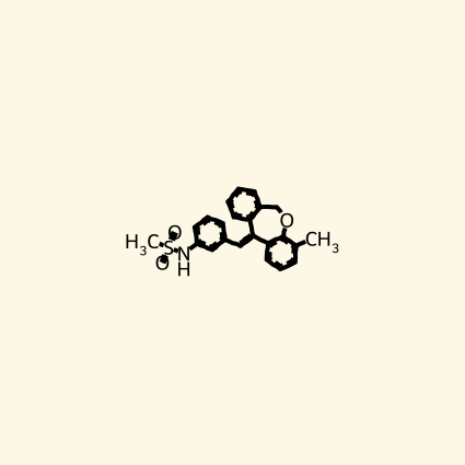 Cc1cccc2c1OCc1ccccc1/C2=C\c1cccc(NS(C)(=O)=O)c1